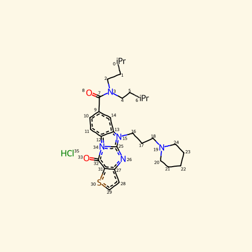 CC(C)CCN(CCC(C)C)C(=O)c1ccc2c(c1)n(CCCN1CCCCC1)c1nc3ccsc3c(=O)n21.Cl